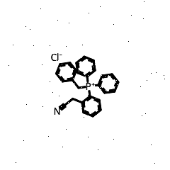 N#CCc1ccccc1[P+](Cc1ccccc1)(c1ccccc1)c1ccccc1.[Cl-]